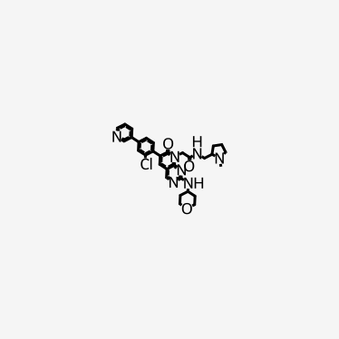 CN1CCCC1CNC(=O)Cn1c(=O)c(-c2ccc(-c3cccnc3)cc2Cl)cc2cnc(NC3CCOCC3)nc21